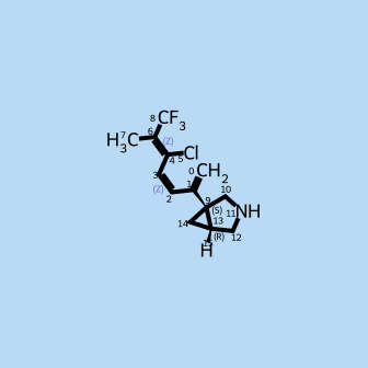 C=C(/C=C\C(Cl)=C(/C)C(F)(F)F)[C@@]12CNC[C@@H]1C2